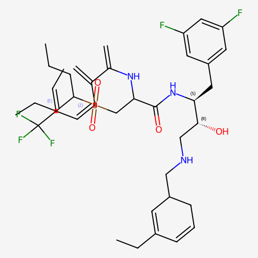 C=C(/C=C\C(=C/C)C(F)(F)F)C(=C)NC(CS(=O)(=O)C(CCC)CCC)C(=O)N[C@@H](Cc1cc(F)cc(F)c1)[C@H](O)CNCC1C=C(CC)C=CC1